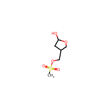 CS(=O)(=O)OCC1COC(O)C1